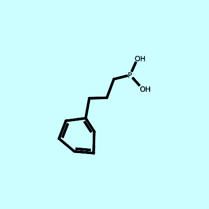 OP(O)CCCc1ccccc1